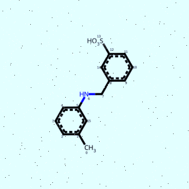 Cc1cccc(NCc2cccc(S(=O)(=O)O)c2)c1